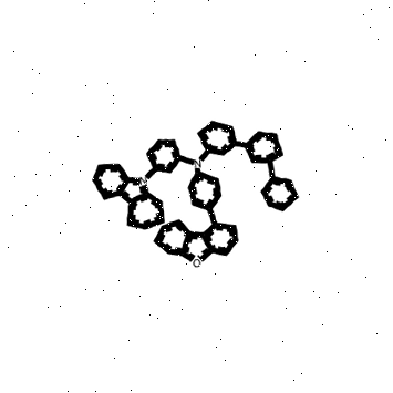 c1ccc(-c2cccc(-c3cccc(N(c4ccc(-c5cccc6oc7ccccc7c56)cc4)c4cccc(-n5c6ccccc6c6ccccc65)c4)c3)c2)cc1